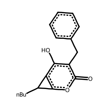 CCCCC1c2oc(=O)c(Cc3ccccc3)c(O)c21